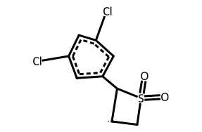 O=S1(=O)C[CH]C1c1cc(Cl)cc(Cl)c1